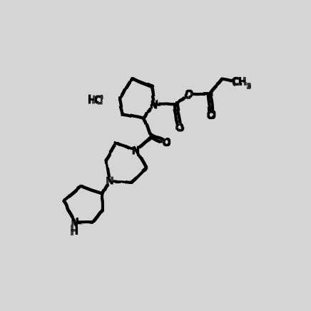 CCC(=O)OC(=O)N1CCCCC1C(=O)N1CCN(C2CCNCC2)CC1.Cl